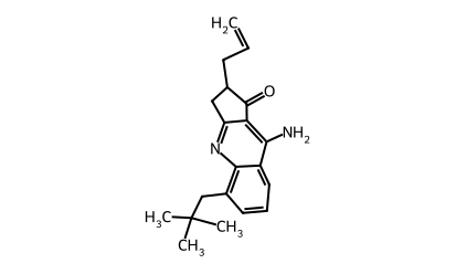 C=CCC1Cc2nc3c(CC(C)(C)C)cccc3c(N)c2C1=O